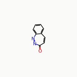 O=c1ccc2ccccc2nn1